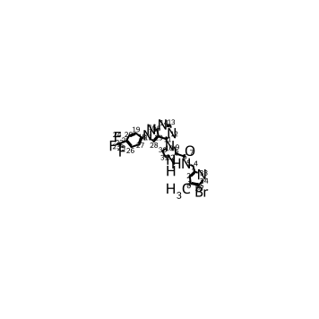 Cc1cc(CNC(=O)C2CN(c3ncnc4nn(-c5ccc(C(F)(F)F)cc5)cc34)CCN2)ncc1Br